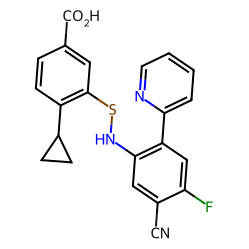 N#Cc1cc(NSc2cc(C(=O)O)ccc2C2CC2)c(-c2ccccn2)cc1F